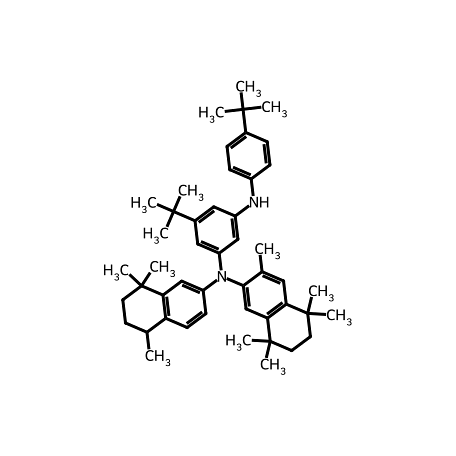 Cc1cc2c(cc1N(c1cc(Nc3ccc(C(C)(C)C)cc3)cc(C(C)(C)C)c1)c1ccc3c(c1)C(C)(C)CCC3C)C(C)(C)CCC2(C)C